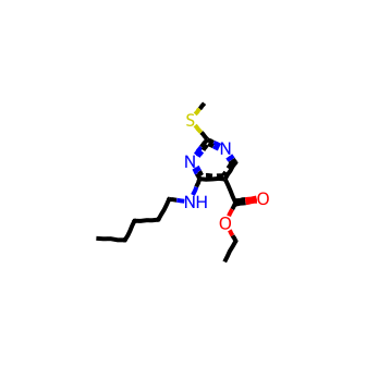 CCCCCNc1nc(SC)ncc1C(=O)OCC